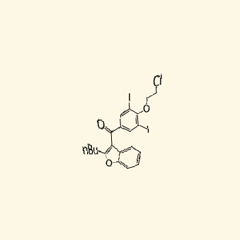 CCCCc1oc2ccccc2c1C(=O)c1cc(I)c(OCCCl)c(I)c1